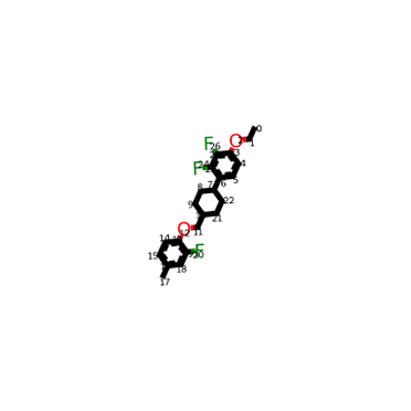 CCOc1ccc(C2CCC(COc3ccc(C)cc3F)CC2)c(F)c1F